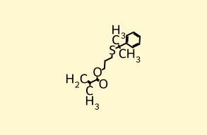 C=C(C)C(=O)OCCCSC(C)(C)c1ccccc1